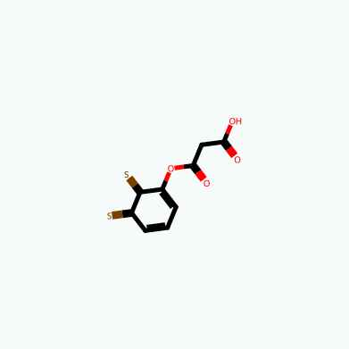 O=C(O)CC(=O)OC1=CC=CC(=S)C1=S